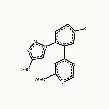 COc1cc(-c2cc(Cl)ccc2-n2cc(C=O)nn2)ncn1